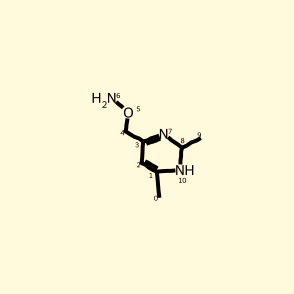 CC1=CC(CON)=NC(C)N1